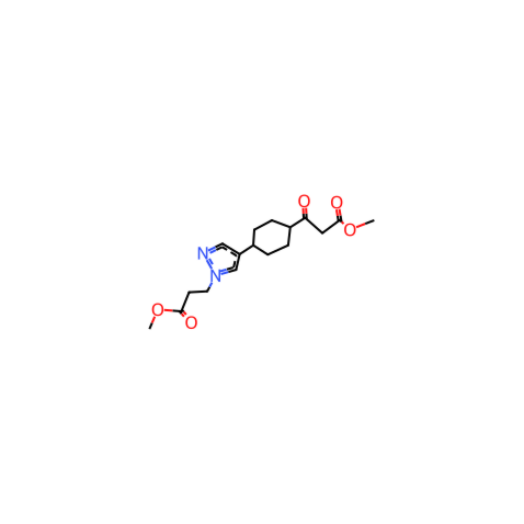 COC(=O)CCn1cc(C2CCC(C(=O)CC(=O)OC)CC2)cn1